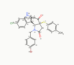 Cc1ccc(S[C@@]2(C(=O)N(C)O)CC(=O)N(Cc3ccc(Br)cc3)[C@H]2c2c[nH]c3cc(Cl)ccc23)cc1